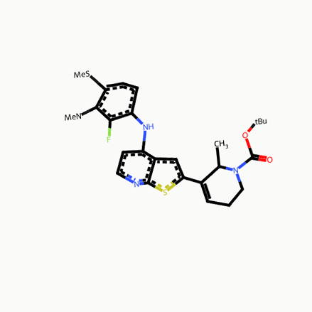 CNc1c(SC)ccc(Nc2ccnc3sc(C4=CCCN(C(=O)OC(C)(C)C)C4C)cc23)c1F